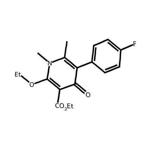 CCOC(=O)c1c(OCC)n(C)c(C)c(-c2ccc(F)cc2)c1=O